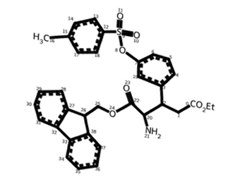 CCOC(=O)CC(c1cccc(OS(=O)(=O)c2ccc(C)cc2)c1)C(N)C(=O)OCC1c2ccccc2-c2ccccc21